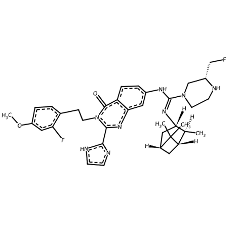 COc1ccc(CCn2c(-c3ncc[nH]3)nc3cc(NC(=N[C@H]4C[C@H]5C[C@@H]([C@@H]4C)C5(C)C)N4CCN[C@@H](CF)C4)ccc3c2=O)c(F)c1